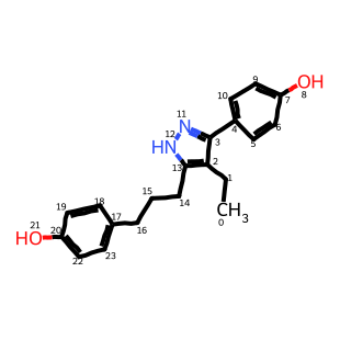 CCc1c(-c2ccc(O)cc2)n[nH]c1CCCc1ccc(O)cc1